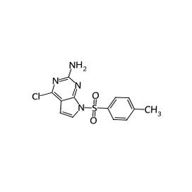 Cc1ccc(S(=O)(=O)n2ccc3c(Cl)nc(N)nc32)cc1